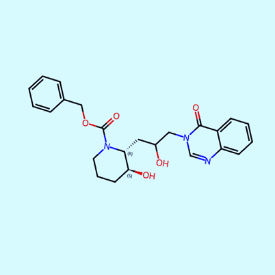 O=C(OCc1ccccc1)N1CCC[C@H](O)[C@H]1CC(O)Cn1cnc2ccccc2c1=O